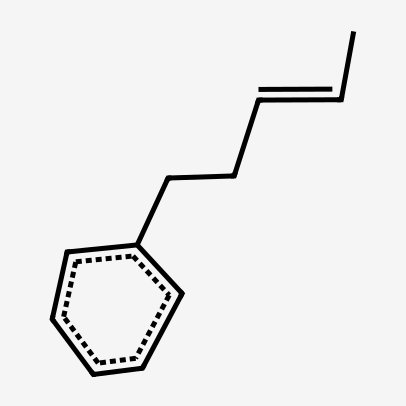 CC=CCCc1ccccc1